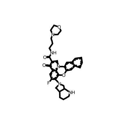 O=C(NCCCN1CCOCC1)c1cn2c3c(c(N4CC5CCCNC5C4)c(F)cc3c1=O)Oc1cc3ccccc3cc1-2